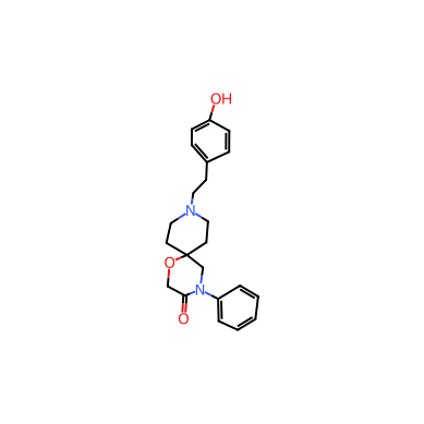 O=C1COC2(CCN(CCc3ccc(O)cc3)CC2)CN1c1ccccc1